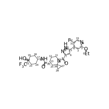 CCOc1cc(-c2cc(C(=O)N3CC[C@@H](C(=O)NC4CCC(O)(C(F)(F)F)CC4)CC34CC4)n[nH]2)c(F)cn1